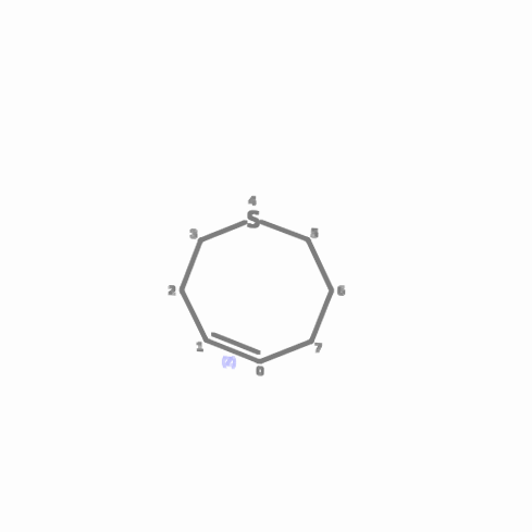 C1=C\CCSCCC/1